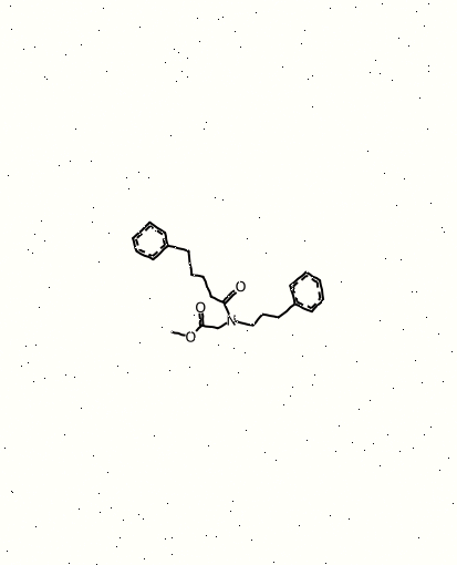 COC(=O)CN(CCCc1ccccc1)C(=O)CCCCc1ccccc1